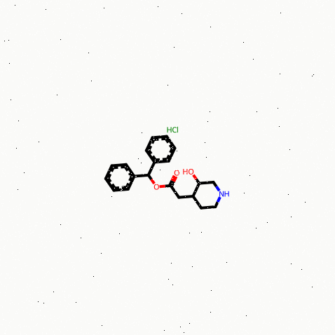 Cl.O=C(CC1CCNCC1O)OC(c1ccccc1)c1ccccc1